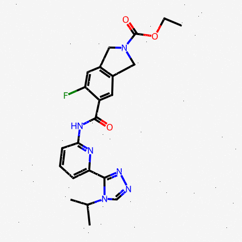 CCOC(=O)N1Cc2cc(F)c(C(=O)Nc3cccc(-c4nncn4C(C)C)n3)cc2C1